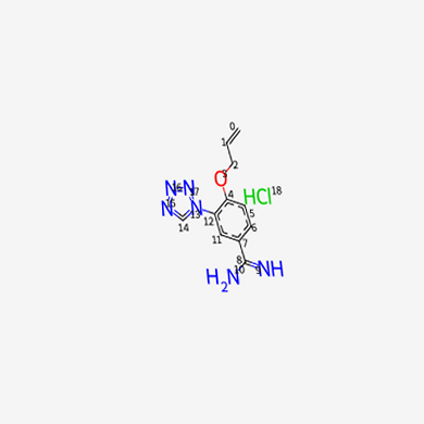 C=CCOc1ccc(C(=N)N)cc1-n1cnnn1.Cl